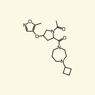 CC(=O)N1CC(Oc2cnoc2C)CC1C(=O)N1CCCN(C2CCC2)CC1